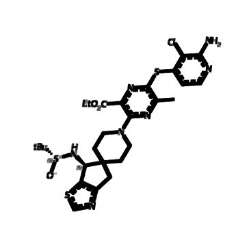 CCOC(=O)c1nc(Sc2ccnc(N)c2Cl)c(C)nc1N1CCC2(CC1)Cc1ncsc1[C@H]2N[S@+]([O-])C(C)(C)C